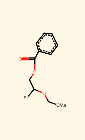 CCC(COC(=O)c1ccccc1)OCOC